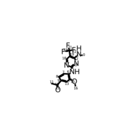 CNc1nc(Nc2ccc(C(C)=O)cc2OC)ncc1C(F)(F)F